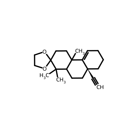 C#C[C@]12CCCC=C1C1(C)CCC3(OCCO3)C(C)(C)C1CC2